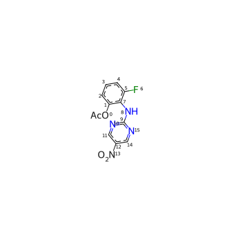 CC(=O)Oc1cccc(F)c1Nc1ncc([N+](=O)[O-])cn1